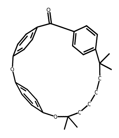 CC1(C)CCCCC(C)(C)c2ccc(cc2)C(=O)c2ccc(cc2)Oc2ccc(cc2)O1